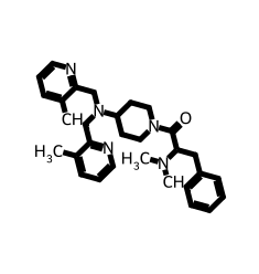 Cc1cccnc1CN(Cc1ncccc1C)C1CCN(C(=O)C(Cc2ccccc2)N(C)C)CC1